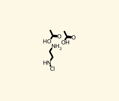 CC(=O)O.CC(=O)O.NCCNCl